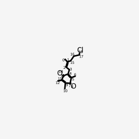 CC(=CCC1=C(C)C(=O)C(C)=C(C)C1=O)CCCCl